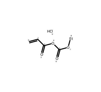 C=CC(=O)OC(=O)OCC.Cl